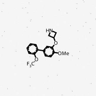 COc1ccc(-c2ccccc2OC(F)(F)F)cc1OC1CNC1